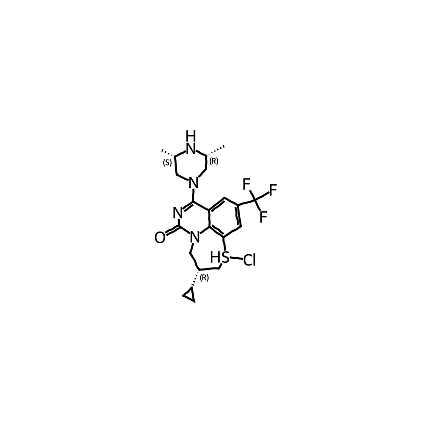 C[C@@H]1CN(c2nc(=O)n3c4c(cc(C(F)(F)F)cc24)[SH](Cl)C[C@H](C2CC2)C3)C[C@H](C)N1